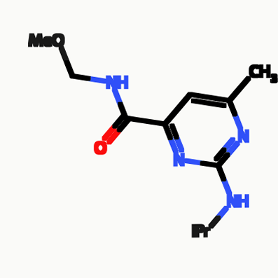 COCNC(=O)c1cc(C)nc(NC(C)C)n1